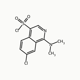 CN(C)c1ncc(S(=O)(=O)Cl)c2ccc(Cl)cc12